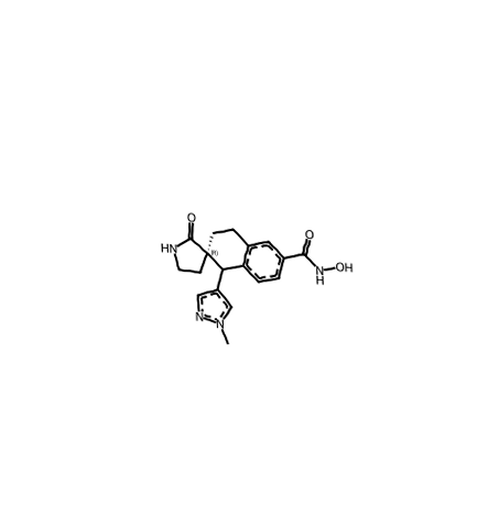 Cn1cc(C2c3ccc(C(=O)NO)cc3CC[C@@]23CCNC3=O)cn1